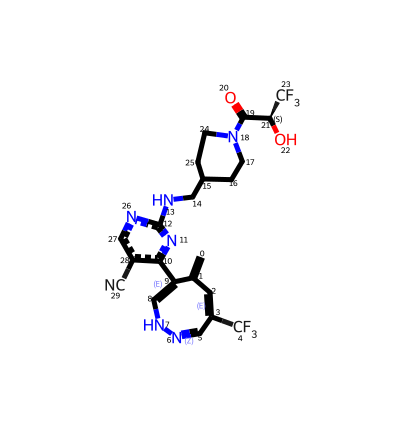 C=C1/C=C(C(F)(F)F)\C=N/N/C=C\1c1nc(NCC2CCN(C(=O)[C@H](O)C(F)(F)F)CC2)ncc1C#N